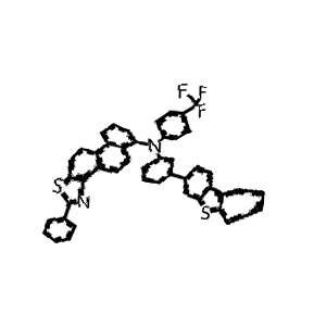 FC(F)(F)c1ccc(N(c2cccc(-c3ccc4c(c3)sc3ccccc34)c2)c2cccc3c2ccc2c3ccc3sc(-c4ccccc4)nc32)cc1